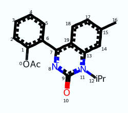 CC(=O)Oc1ccccc1-c1nc(=O)n(C(C)C)c2cc(C)ccc12